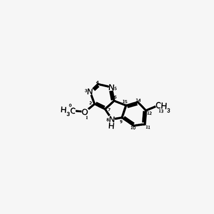 COc1ncnc2c1[nH]c1ccc(C)cc12